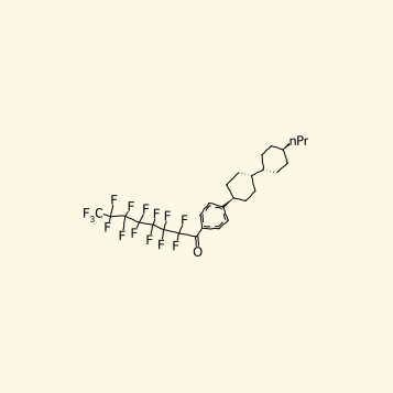 CCC[C@H]1CC[C@H]([C@H]2CC[C@H](c3ccc(C(=O)C(F)(F)C(F)(F)C(F)(F)C(F)(F)C(F)(F)C(F)(F)C(F)(F)F)cc3)CC2)CC1